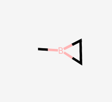 CB1CC1